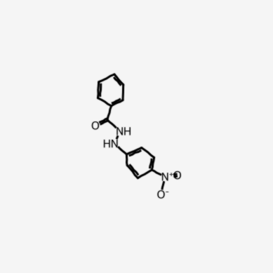 O=C(NNc1ccc([N+](=O)[O-])cc1)c1ccccc1